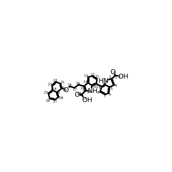 O=C(O)c1cc2cccc(-c3cccc4c(CCCOc5cccc6ccccc56)c(C(=O)O)[nH]c34)c2[nH]1